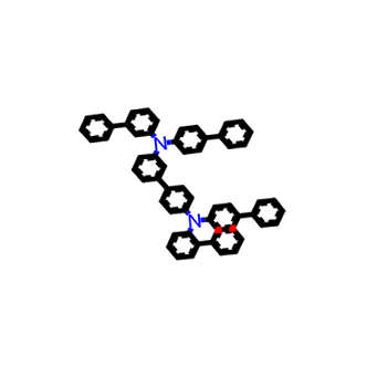 c1ccc(-c2ccc(N(c3cccc(-c4ccccc4)c3)c3cccc(-c4ccc(N(c5ccc(-c6ccccc6)cc5)c5ccccc5-c5ccccc5)cc4)c3)cc2)cc1